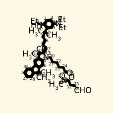 CCNc1ccc(N(CC)CC)cc1C(C)(C)C/C=C/C=C1/N(CCCCCC(=O)ON(C)C(=O)CCC=O)c2cc3c(cc2C1(C)C)-c1ccccc1C3(C)C